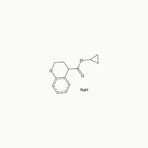 O=C(OC1CC1)C1CCOc2ccccc21.[NaH]